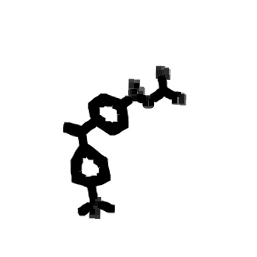 C=C(c1ccc([SiH2]OC(CC)CC)cc1)c1ccc([SiH](C)C)cc1